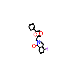 O=c1c2cccc(I)c2ccn1CC1=COC=C(C2=CC=CCC2)O1